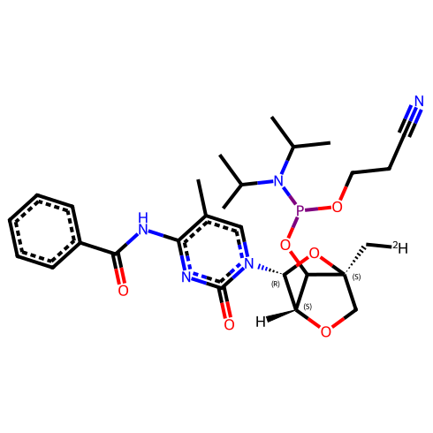 [2H]C[C@]12CO[C@@H](C1OP(OCCC#N)N(C(C)C)C(C)C)[C@H](n1cc(C)c(NC(=O)c3ccccc3)nc1=O)O2